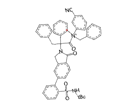 CC(C)(C)NS(=O)(=O)c1ccccc1-c1ccc2c(c1)CN(C(Cc1ccccc1)(C(=O)[N+](C)(Cc1ccccc1)c1cccc(C#N)c1)c1ccccc1)C2=O